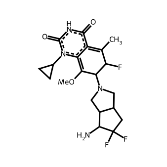 COC1=c2c(c(=O)[nH]c(=O)n2C2CC2)=C(C)C(F)C1N1CC2CC(F)(F)C(N)C2C1